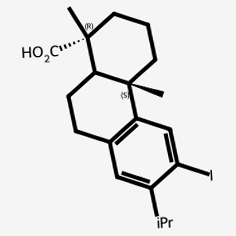 CC(C)c1cc2c(cc1I)[C@@]1(C)CCC[C@@](C)(C(=O)O)C1CC2